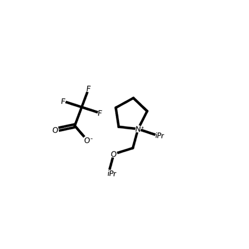 CC(C)OC[N+]1(C(C)C)CCCC1.O=C([O-])C(F)(F)F